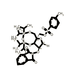 [3H][C@@H]1O[C@]2(COS(=O)(=O)c3ccc(C)cc3)CO[Si](C(C)C)(C(C)C)O[Si](C(C)C)(C(C)C)OC2[C@@H]1ON1C(=O)c2ccccc2C1=O